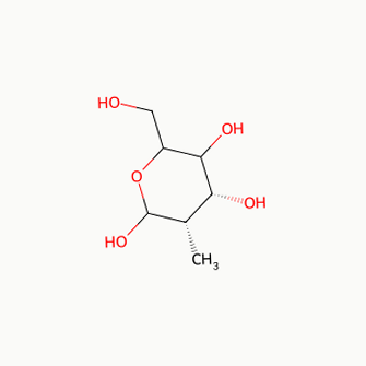 C[C@@H]1C(O)OC(CO)C(O)[C@@H]1O